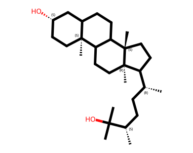 C[C@H](CC[C@H](C)C(C)(C)O)C1CC[C@@]2(C)C3CCC4C[C@@H](O)CC[C@]4(C)C3CC[C@]12C